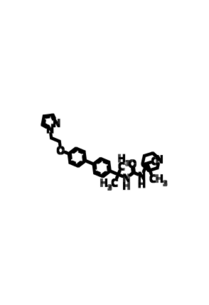 CC(C)(NC(=O)NC1(C)CN2CCC1CC2)c1ccc(-c2ccc(OCCn3cccn3)cc2)cc1